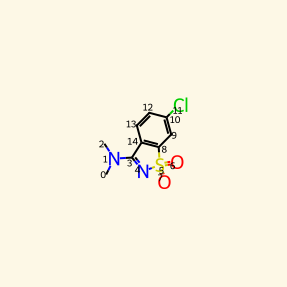 CN(C)C1=NS(=O)(=O)c2cc(Cl)ccc21